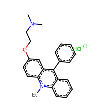 CC[n+]1c2ccccc2c(-c2ccccc2)c2cc(OCCN(C)C)ccc21.Cl.[Cl-]